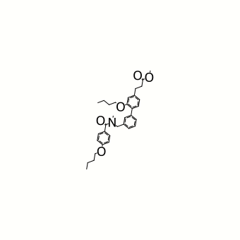 CCCCOc1ccc(C(=O)N(C)Cc2cccc(-c3ccc(CCC(=O)OC)cc3OCCCC)c2)cc1